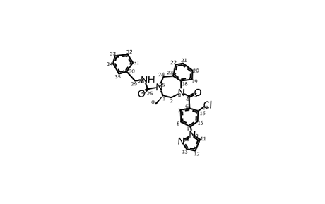 C[C@@H]1CN(C(=O)c2ccc(-n3cccn3)cc2Cl)c2ccccc2CN1C(=O)NCc1ccccc1